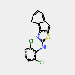 Clc1cccc(Cl)c1Nc1nc2c(s1)=CC1=CC=CCC=21